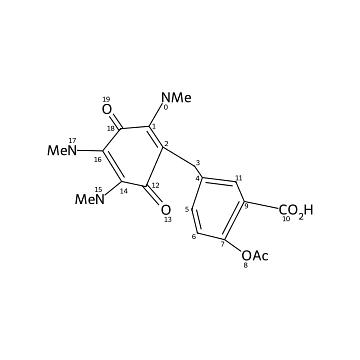 CNC1=C(Cc2ccc(OC(C)=O)c(C(=O)O)c2)C(=O)C(NC)=C(NC)C1=O